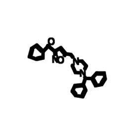 O=C(c1ccccc1)c1cc(CN2CCN(C(c3ccccc3)c3ccccc3)CC2)on1